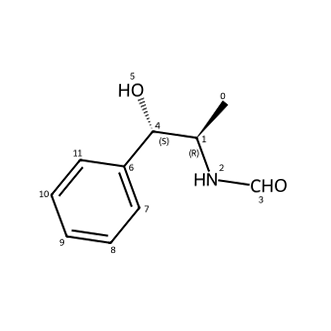 C[C@@H](NC=O)[C@@H](O)c1ccccc1